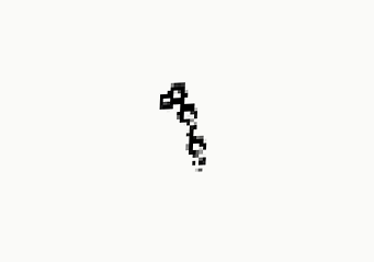 CC(=O)CN1CCC(CCN2CC=C(c3cccc4c3CCC4)CC2)CC1